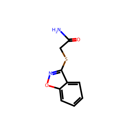 NC(=O)CSc1noc2ccccc12